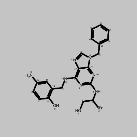 CC(C)C(CO)Nc1nc(NCc2cc(N)ccc2O)c2ncn(Cc3ccccc3)c2n1